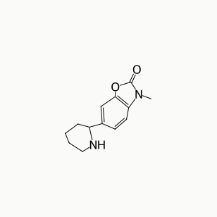 Cn1c(=O)oc2cc(C3CCCCN3)ccc21